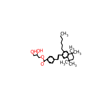 CCCCCCc1cc2c(cc1C=Cc1ccc(C(=O)OCC(O)CO)cc1)C(C)(C)CCC2(C)C